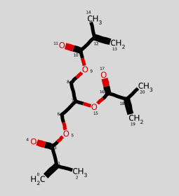 C=C(C)C(=O)OCC(COC(=O)C(=C)C)OC(=O)C(=C)C